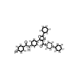 O=C(Nc1ccc(-c2oc(-c3ccccc3)nc2C(=O)N2CCN(c3ccccc3)CC2)cc1)c1ccc(F)cc1